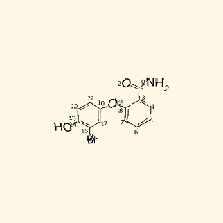 NC(=O)c1ccccc1Oc1ccc(O)c(Br)c1